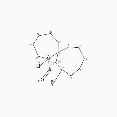 O=C1C2(Br)CCCCCC3(CCCCC[N+]13Cl)N2